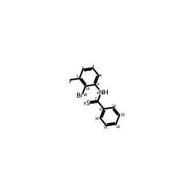 Cc1cccc(NC(=S)c2ccccc2)c1Br